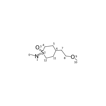 CN=S1(=O)CCC(CCOC)CC1